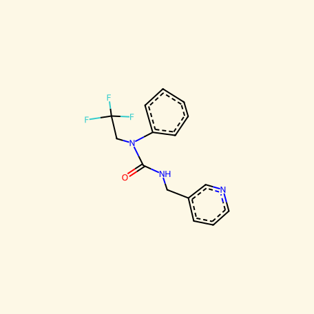 O=C(NCc1cccnc1)N(CC(F)(F)F)c1ccccc1